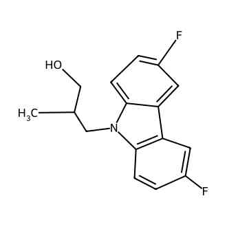 CC(CO)Cn1c2ccc(F)cc2c2cc(F)ccc21